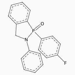 O=P1(c2ccc(F)cc2)c2ccccc2CN1c1ccccc1